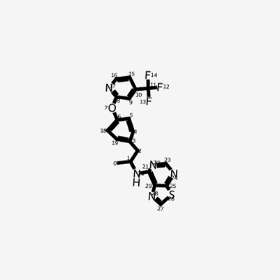 CC(Cc1ccc(Oc2cc(C(F)(F)F)ccn2)cc1)Nc1ncnc2scnc12